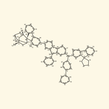 c1ccc(-c2ccc(N(c3ccc4c(c3)C3(CCCC3)c3ccccc3-4)c3ccc4c5ccc(-c6ccc7c(c6)-c6ccccc6[C@]76[C@@H]7CC8C[C@@H](C7)C[C@@H]6C8)cc5n(-c5ccccc5)c4c3)cc2)cc1